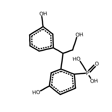 O=P(O)(O)c1ccc(O)cc1C(CO)c1cccc(O)c1